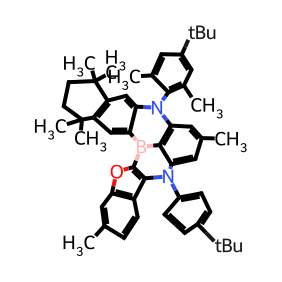 Cc1cc2c3c(c1)N(c1ccc(C(C)(C)C)cc1)c1c(oc4cc(C)ccc14)B3c1cc3c(cc1N2c1c(C)cc(C(C)(C)C)cc1C)C(C)(C)CCC3(C)C